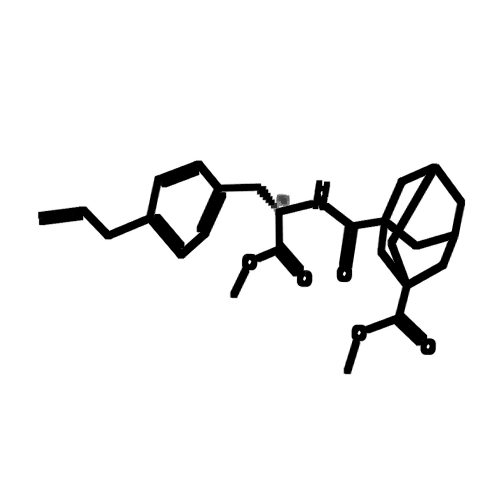 C=CCc1ccc(C[C@H](NC(=O)C23CC4CC(C2)CC(C(=O)OC)(C4)C3)C(=O)OC)cc1